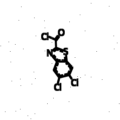 O=C(Cl)c1nc2cc(Cl)c(Cl)cc2s1